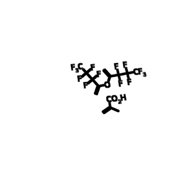 C=C(C)C(=O)O.C=C(OC(=C)C(F)(F)C(F)(F)C(F)(F)F)C(F)(F)C(F)(F)C(F)(F)F